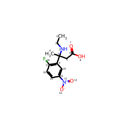 CCNC(C)(CC(=O)O)c1cc([N+](=O)[O-])ccc1F